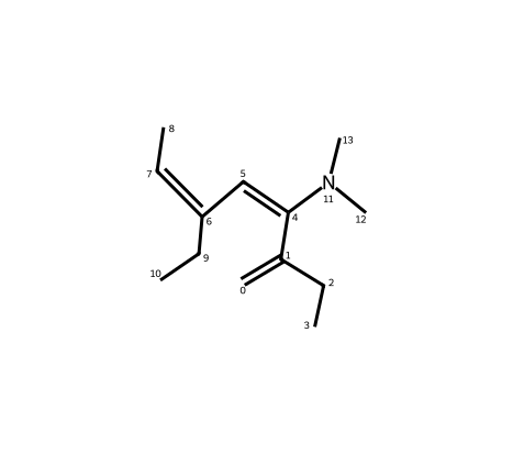 C=C(CC)/C(=C\C(=C/C)CC)N(C)C